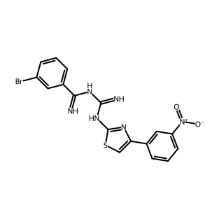 N=C(NC(=N)c1cccc(Br)c1)Nc1nc(-c2cccc([N+](=O)[O-])c2)cs1